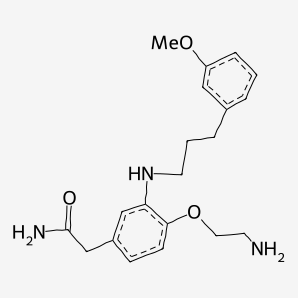 COc1cccc(CCCNc2cc(CC(N)=O)ccc2OCCN)c1